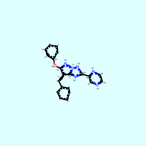 C(/c1ccccc1)=c1\c(Oc2ccccc2)nn2nc(-c3cnccn3)nc12